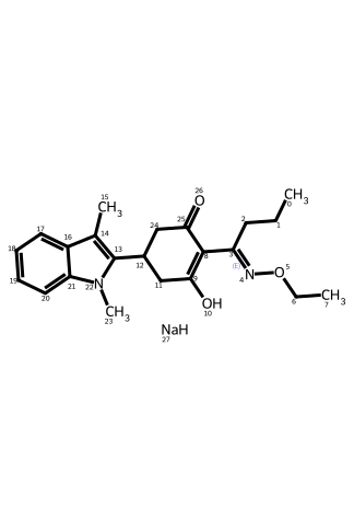 CCC/C(=N\OCC)C1=C(O)CC(c2c(C)c3ccccc3n2C)CC1=O.[NaH]